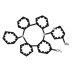 Cc1ccc2c(c1)N(c1cc(C(C)(C)C)ccn1)c1ccccc1-c1ccccc1N(c1ccccc1)c1ccccc1-2